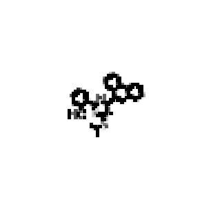 CC(C)Sc1nc(-c2ccccc2O)nc(-c2cc3ccccc3c3ccccc23)n1